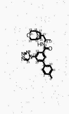 Cc1ccc(-c2cc(C(=O)N[C@H](C)CN3C4CCC3COC4)cc(-n3cnnn3)c2)cc1